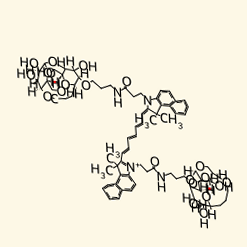 CC1(C)C(/C=C/C=C/C=C/C=C2/N(CCC(=O)NCCCO[C@@H]3[C@@H](O)[C@@H]4OC5O[C@H](CO)[C@@H](OCCC[C@H]3O[C@@H]4CO)[C@H](O)[C@H]5O)c3ccc4ccccc4c3C2(C)C)=[N+](CCC(=O)NCCCO[C@H]2[C@@H]3OC[C@@H](OCCC[C@H]4O[C@H](CO)C(O3)[C@H](O)[C@H]4O)[C@@H]2O)c2ccc3ccccc3c21